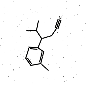 Cc1cccc(C(CC#N)C(C)C)c1